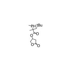 CPC(C)(CC(C)(C)C)C(=O)OC1COC(=O)C1